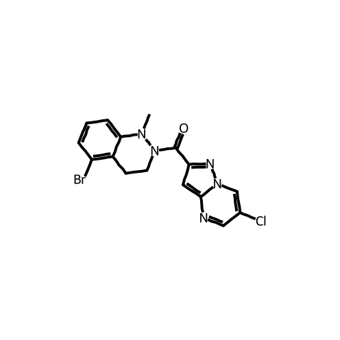 CN1c2cccc(Br)c2CCN1C(=O)c1cc2ncc(Cl)cn2n1